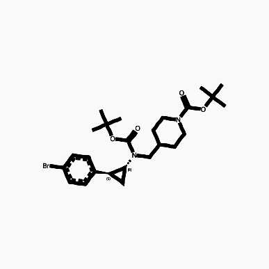 CC(C)(C)OC(=O)N1CCC(CN(C(=O)OC(C)(C)C)[C@@H]2C[C@H]2c2ccc(Br)cc2)CC1